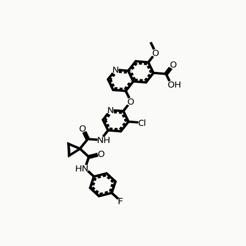 COc1cc2nccc(Oc3ncc(NC(=O)C4(C(=O)Nc5ccc(F)cc5)CC4)cc3Cl)c2cc1C(=O)O